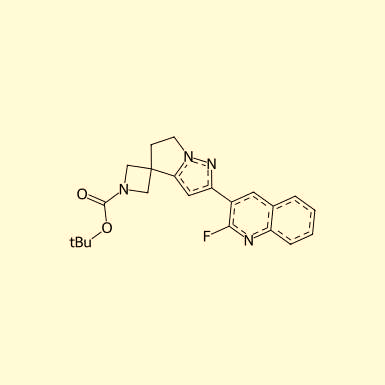 CC(C)(C)OC(=O)N1CC2(CCn3nc(-c4cc5ccccc5nc4F)cc32)C1